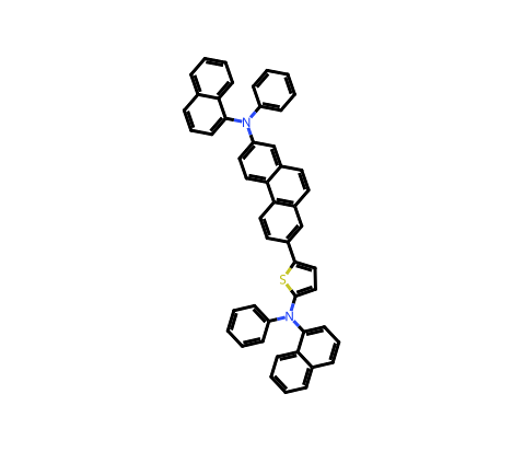 c1ccc(N(c2ccc3c(ccc4cc(-c5ccc(N(c6ccccc6)c6cccc7ccccc67)s5)ccc43)c2)c2cccc3ccccc23)cc1